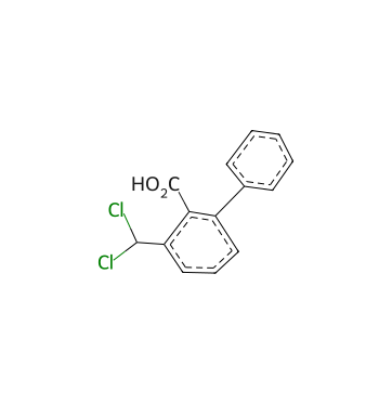 O=C(O)c1c(-c2ccccc2)cccc1C(Cl)Cl